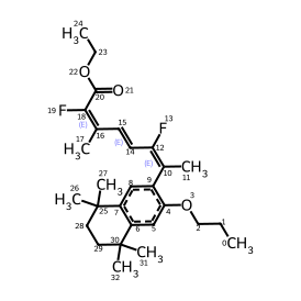 CCCOc1cc2c(cc1\C(C)=C(F)/C=C/C(C)=C(/F)C(=O)OCC)C(C)(C)CCC2(C)C